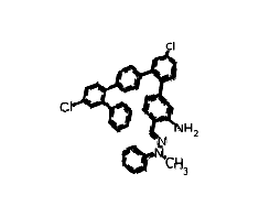 CN(N=Cc1ccc(-c2ccc(Cl)cc2-c2ccc(-c3ccc(Cl)cc3-c3ccccc3)cc2)cc1N)c1ccccc1